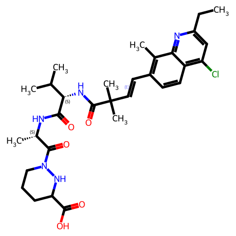 CCc1cc(Cl)c2ccc(/C=C/C(C)(C)C(=O)N[C@H](C(=O)N[C@@H](C)C(=O)N3CCCC(C(=O)O)N3)C(C)C)c(C)c2n1